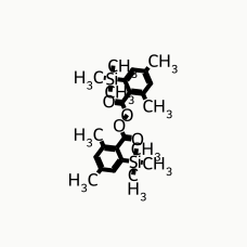 Cc1cc(C)c(C(=O)OOC(=O)c2c(C)cc(C)cc2[Si](C)(C)C)c([Si](C)(C)C)c1